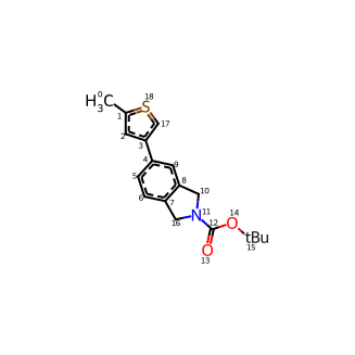 Cc1cc(-c2ccc3c(c2)CN(C(=O)OC(C)(C)C)C3)cs1